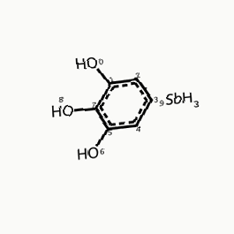 Oc1cccc(O)c1O.[SbH3]